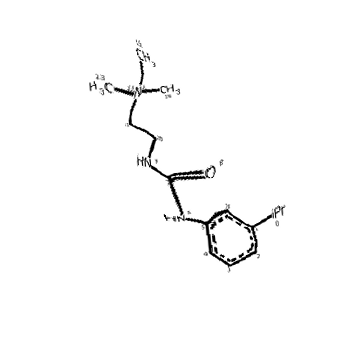 CC(C)c1cccc(NC(=O)NCC[N+](C)(C)C)c1